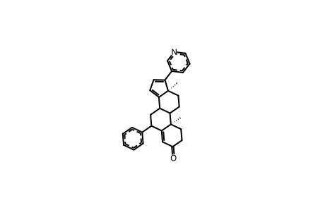 C[C@]12CCC3C(CC(c4ccccc4)C4=CC(=O)CC[C@@]43C)C1=CC=C2c1cccnc1